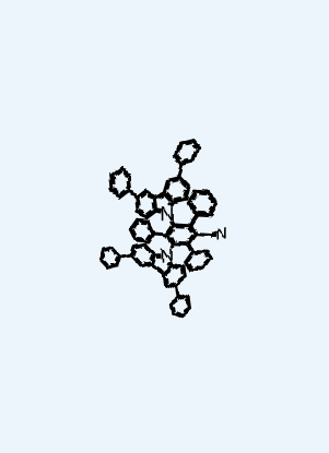 N#Cc1c(-c2ccccc2)c(-n2c3ccc(-c4ccccc4)cc3c3cc(-c4ccccc4)ccc32)c(-c2ccccc2)c(-n2c3ccc(-c4ccccc4)cc3c3cc(-c4ccccc4)ccc32)c1-c1ccccc1